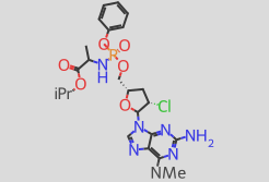 CNc1nc(N)nc2c1ncn2C1O[C@H](COP(=O)(NC(C)C(=O)OC(C)C)Oc2ccccc2)C[C@@H]1Cl